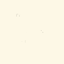 OC1(C2CCCC=N2)C=CNC=C1